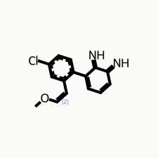 CO/C=C\c1cc(Cl)ccc1C1=CC=CC(=N)C1=N